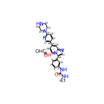 CCNC(=O)Nc1cccc(-c2cnc3cc(-c4ccc(N5CCNCC5)nc4)ccn23)c1.O=CO